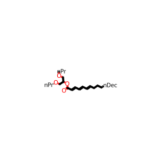 CCCCCCCCCCCCCC=CC=CC=CC(=O)OC(COCCC)COCCC